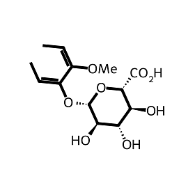 C/C=C(OC)\C(=C/C)O[C@@H]1O[C@H](C(=O)O)[C@@H](O)[C@H](O)[C@H]1O